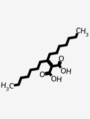 CCCCCCCC(CCCCCCC)=C(C(=O)O)C(=O)O